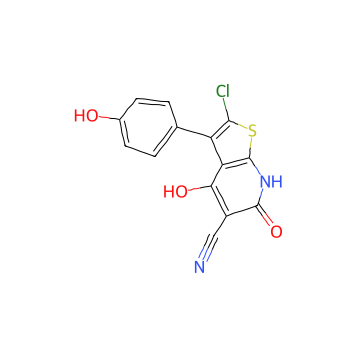 N#Cc1c(O)c2c(-c3ccc(O)cc3)c(Cl)sc2[nH]c1=O